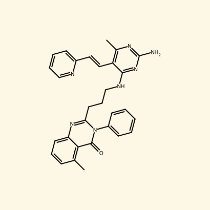 Cc1nc(N)nc(NCCCc2nc3cccc(C)c3c(=O)n2-c2ccccc2)c1/C=C/c1ccccn1